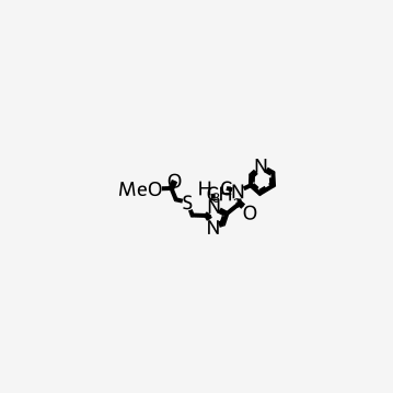 COC(=O)CSCc1ncc(C(=O)N(C)c2cccnc2)n1C